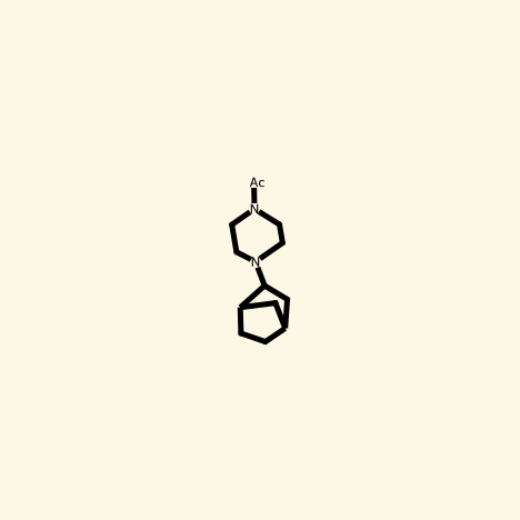 CC(=O)N1CCN(C2CC3CCC2C3)CC1